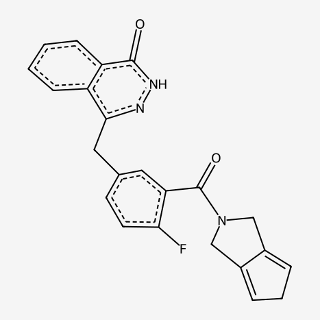 O=C(c1cc(Cc2n[nH]c(=O)c3ccccc23)ccc1F)N1CC2=CCC=C2C1